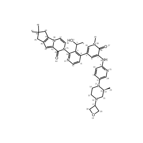 CC(O)c1c(-c2cc(Nc3ccc(N4CCN(C5COC5)C[C@@H]4C)cn3)c(=O)n(C)c2)ccnc1-n1ccn2c3c(cc2c1=O)CC(C)(C)C3